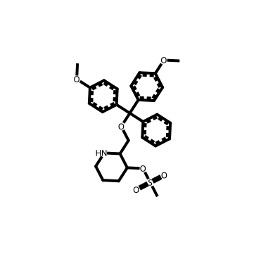 COc1ccc(C(OCC2NCCCC2OS(C)(=O)=O)(c2ccccc2)c2ccc(OC)cc2)cc1